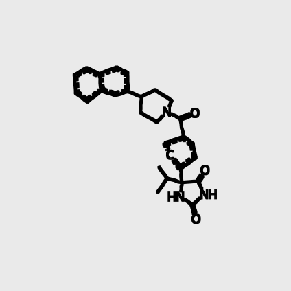 CC(C)C1(c2ccc(C(=O)N3CCC(c4ccc5ccccc5c4)CC3)cc2)NC(=O)NC1=O